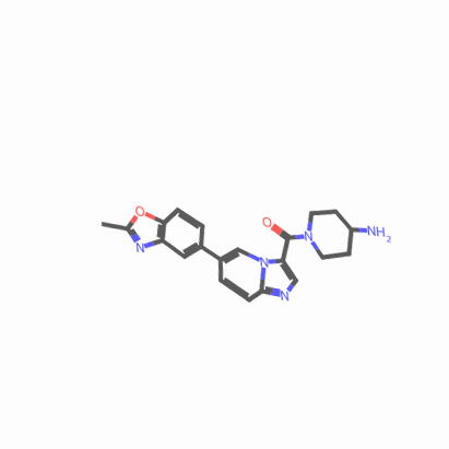 Cc1nc2cc(-c3ccc4ncc(C(=O)N5CCC(N)CC5)n4c3)ccc2o1